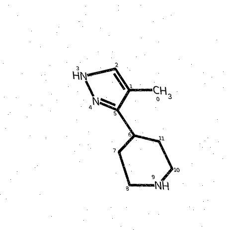 Cc1c[nH]nc1C1CCNCC1